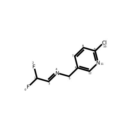 FC(F)/C=N/Cc1ccc(Cl)nc1